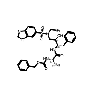 CC[C@H](C)[C@H](NC(=O)OCc1ccccc1)C(=O)N[C@@H](Cc1ccccc1)[C@H](O)CN(CC(C)C)S(=O)(=O)c1ccc2c(c1)OCO2